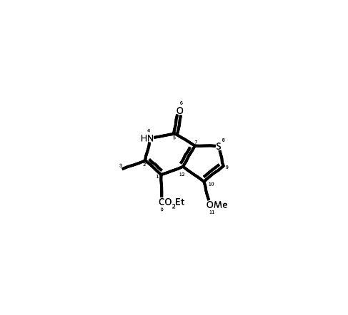 CCOC(=O)c1c(C)[nH]c(=O)c2scc(OC)c12